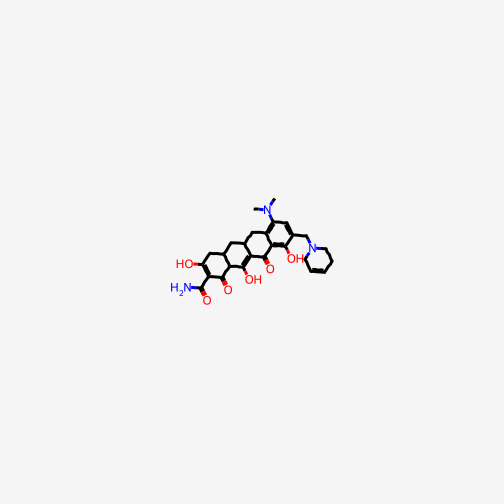 CN(C)c1cc(CN2CC=CCC2)c(O)c2c1CC1CC3CC(O)=C(C(N)=O)C(=O)C3C(O)=C1C2=O